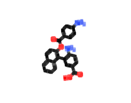 Nc1ccc(C(=O)Oc2ccc3ccccc3c2-c2cc(C(=O)O)ccc2N)cc1